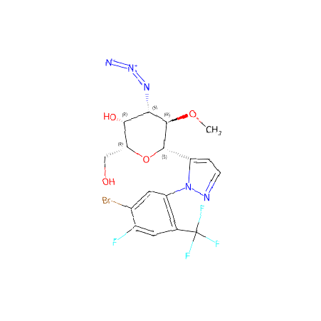 CO[C@@H]1[C@@H](N=[N+]=[N-])[C@@H](O)[C@@H](CO)O[C@H]1c1ccnn1-c1cc(Br)c(F)cc1C(F)(F)F